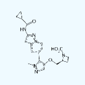 Cn1ncc(OC[C@@H]2CCN2C(=O)O)c1-c1ccn2nc(NC(=O)C3CC3)cc2c1